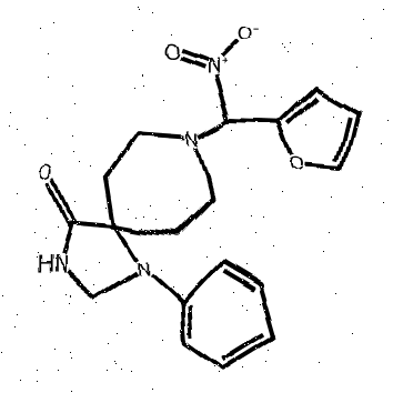 O=C1NCN(c2ccccc2)C12CCN(C(c1ccco1)[N+](=O)[O-])CC2